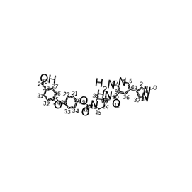 Cn1cc(-c2cnc(N)c(C(=O)N[C@@H]3CCN(C(=O)Oc4ccc(Oc5ccc(CO)cc5)cc4)C3)c2)cn1